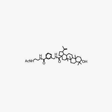 C=C(C)C1CCC2(C(=O)NCc3cccc(C(=O)NCCNC(C)=O)c3)CC[C@]3(C)C(CCC4C5(C)CCC(O)C(C)(C)C5CCC43C)C12